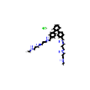 CC(C)CNCCCNCCCNCc1ccc(-c2ccccc2-c2ccc(CNCCCNCCCNCC(C)C)cc2)cc1.Cl